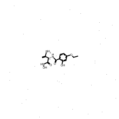 C=C(N)[C@H](NC(=O)c1ccc(OCC)cc1O)C(=O)NO